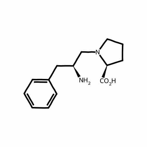 N[C@@H](Cc1ccccc1)CN1CCC[C@H]1C(=O)O